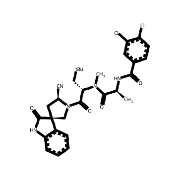 C[C@H](NC(=O)c1ccc(Cl)c(Cl)c1)C(=O)N(C)[C@@H](CC(C)(C)C)C(=O)N1C[C@]2(C[C@H]1C#N)C(=O)Nc1ccccc12